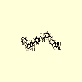 C=CC(=O)NC1CCCN(Cc2ccnc(C(=O)Nc3ccc(-c4cc5c(N6CCOCC6)ncnc5[nH]4)c(F)c3)c2)C1